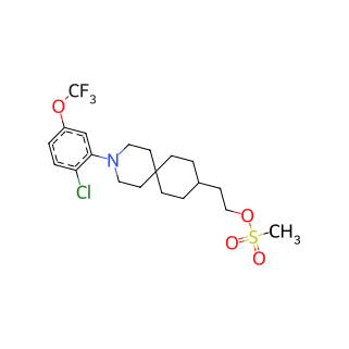 CS(=O)(=O)OCCC1CCC2(CC1)CCN(c1cc(OC(F)(F)F)ccc1Cl)CC2